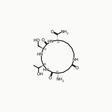 CC(O)[C@H]1CN[C@@H](CO)C(=O)N[C@H](C(N)=O)CCCCNC(=O)CC[C@H](N)C(=O)N1